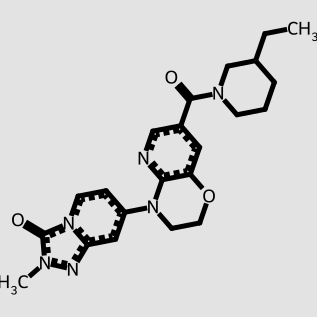 CCC1CCCN(C(=O)c2cnc3c(c2)OCCN3c2ccn3c(=O)n(C)nc3c2)C1